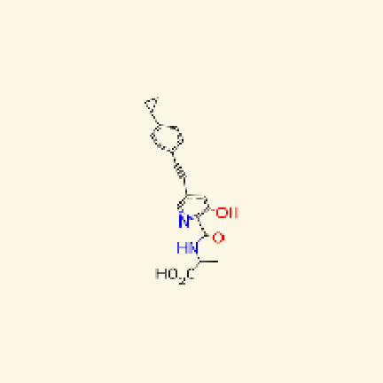 CC(NC(=O)c1ncc(C#Cc2ccc(C3CC3)cc2)cc1O)C(=O)O